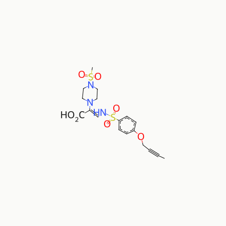 CC#CCOc1ccc(S(=O)(=O)NC=C(C(=O)O)N2CCN(S(C)(=O)=O)CC2)cc1